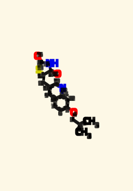 CC(C)COc1ccc2cc(CC3SC(=O)NC3=O)cnc2c1